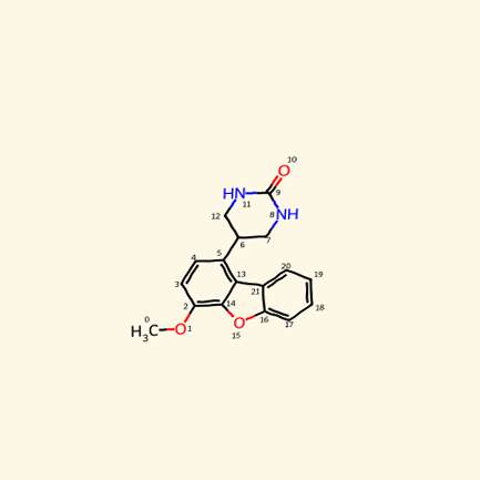 COc1ccc(C2CNC(=O)NC2)c2c1oc1ccccc12